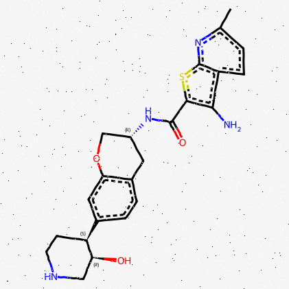 Cc1ccc2c(N)c(C(=O)N[C@H]3COc4cc([C@@H]5CCNC[C@@H]5O)ccc4C3)sc2n1